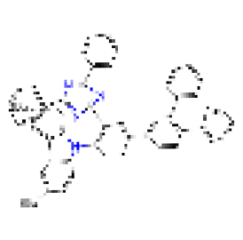 CC(C)(C)c1ccc2c(c1)c1cc(C(C)(C)C)ccc1n2-c1ccc(-c2ccc(-c3ccccc3)c(-c3ccccc3)c2)cc1-c1nc(-c2ccccc2)nc(-c2ccccc2)n1